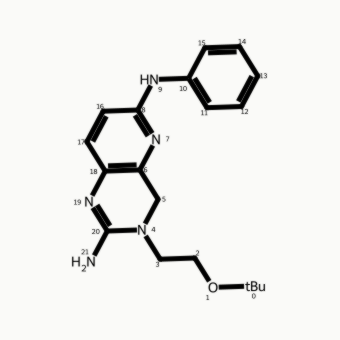 CC(C)(C)OCCN1Cc2nc(Nc3ccccc3)ccc2N=C1N